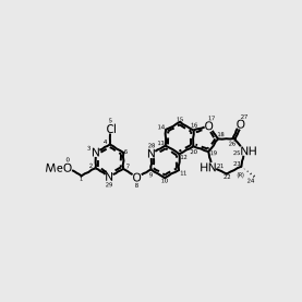 COCc1nc(Cl)cc(Oc2ccc3c(ccc4oc5c(c43)NC[C@@H](C)NC5=O)n2)n1